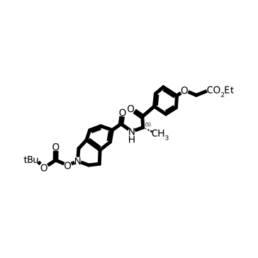 CCOC(=O)COc1ccc(C(=O)[C@H](C)NC(=O)c2ccc3c(c2)CCN(OC(=O)OC(C)(C)C)C3)cc1